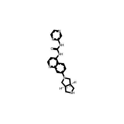 O=C(Nc1cnccn1)Nc1ccnc2cc(N3C[C@H]4CNC[C@H]4C3)ccc12